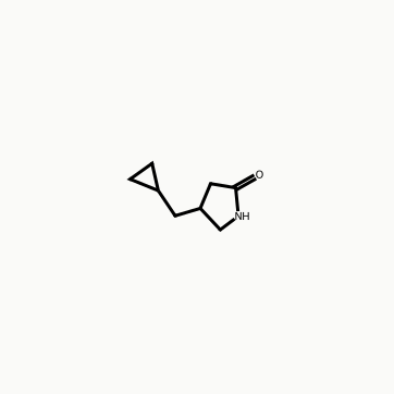 O=C1CC(CC2CC2)CN1